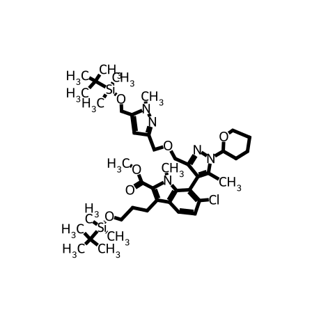 COC(=O)c1c(CCCO[Si](C)(C)C(C)(C)C)c2ccc(Cl)c(-c3c(COCc4cc(CO[Si](C)(C)C(C)(C)C)n(C)n4)nn(C4CCCCO4)c3C)c2n1C